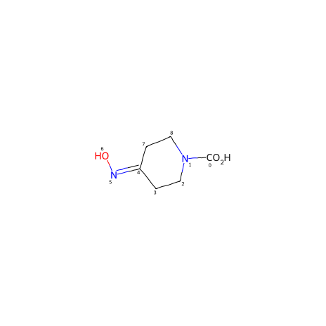 O=C(O)N1CCC(=NO)CC1